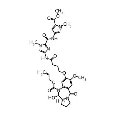 C=CCOC(=O)N1c2cc(OCCCC(=O)Nc3cn(C)c(C(=O)Nc4cc(C(=O)OC)n(C)c4)n3)c(OC)cc2C(=O)N2CCC[C@H]2C1O